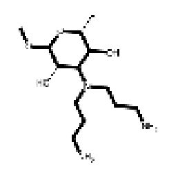 COC1O[C@H](C)C(O)C(N(CCCN)CCCN)[C@@H]1O